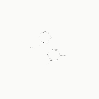 COc1[c]cccc1-c1cc(F)cc(Cl)c1